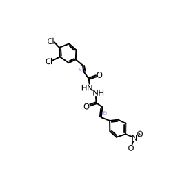 O=C(/C=C/c1ccc([N+](=O)[O-])cc1)NNC(=O)/C=C/c1ccc(Cl)c(Cl)c1